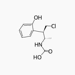 C[C@H](NC(=O)O)[C@H](CCl)c1ccccc1O